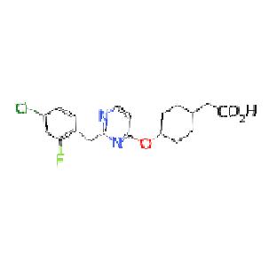 O=C(O)CC1CCC(Oc2ccnc(Cc3ccc(Cl)cc3F)n2)CC1